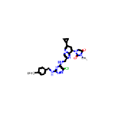 COc1ccc(CNc2nnc(Cl)c(NCc3cn4cc(C5CC5)cc(N5CC(=O)N(C)C5=O)c4n3)n2)cc1